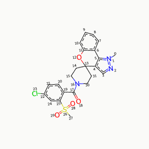 Cn1ncc2c1-c1ccccc1OC21CCN(C(=O)c2ccc(Cl)cc2S(C)(=O)=O)CC1